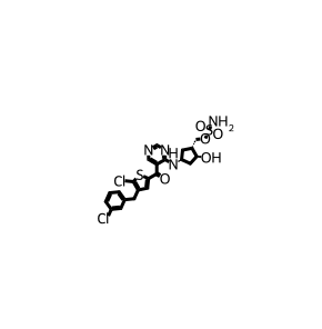 NS(=O)(=O)OC[C@H]1C[C@@H](Nc2ncncc2C(=O)c2cc(Cc3cccc(Cl)c3)c(Cl)s2)C[C@@H]1O